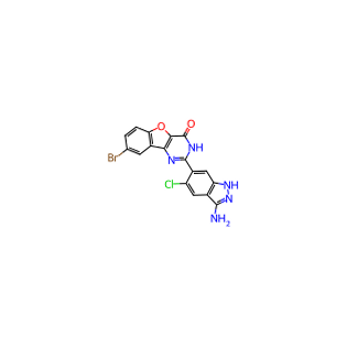 Nc1n[nH]c2cc(-c3nc4c(oc5ccc(Br)cc54)c(=O)[nH]3)c(Cl)cc12